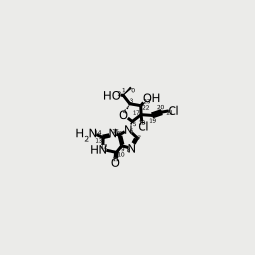 C[C@H](O)[C@H]1O[C@@H](n2cnc3c(=O)[nH]c(N)nc32)C(Cl)(C#CCl)C1O